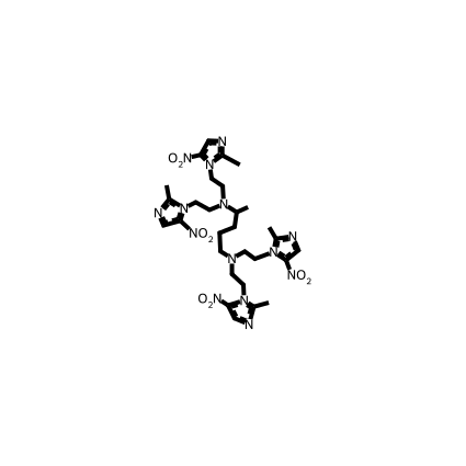 Cc1ncc([N+](=O)[O-])n1CCN(CCCC(C)N(CCn1c([N+](=O)[O-])cnc1C)CCn1c([N+](=O)[O-])cnc1C)CCn1c([N+](=O)[O-])cnc1C